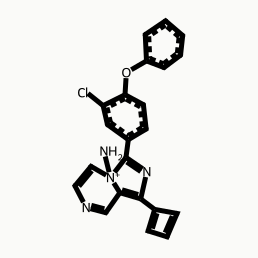 N[N+]12C=CN=CC1=C(C1=CC=C1)N=C2c1ccc(Oc2ccccc2)c(Cl)c1